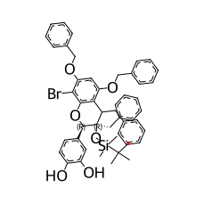 CC(C)(C)[Si](C)(C)O[C@]1(Cc2ccccc2)C(Cc2ccccc2)c2c(OCc3ccccc3)cc(OCc3ccccc3)c(Br)c2O[C@@H]1c1ccc(O)c(O)c1